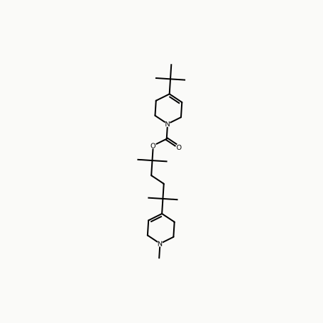 CN1CC=C(C(C)(C)CCC(C)(C)OC(=O)N2CC=C(C(C)(C)C)CC2)CC1